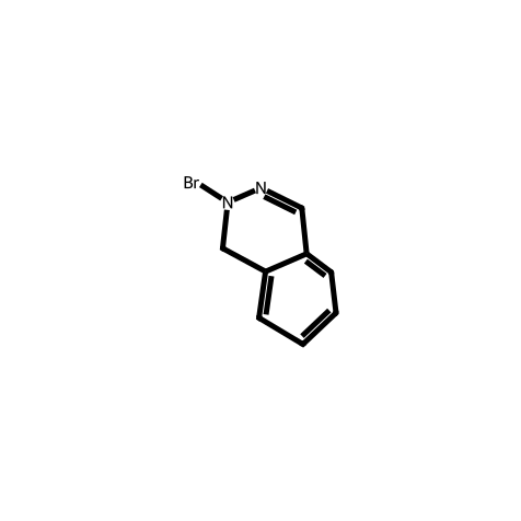 BrN1Cc2ccccc2C=N1